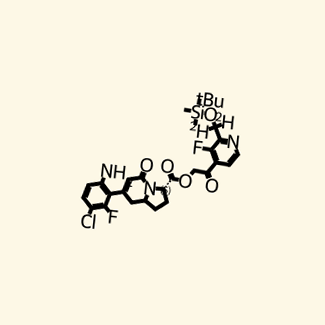 [2H]C([2H])(O[Si](C)(C)C(C)(C)C)c1nccc(C(=O)COC(=O)[C@@H]2CCC3CC(c4c(N)ccc(Cl)c4F)=CC(=O)N32)c1F